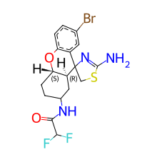 NC1=NC2(CS1)c1cc(Br)ccc1O[C@H]1CCC(NC(=O)C(F)F)C[C@@H]12